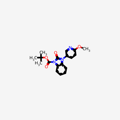 COc1ccc(-n2c(=O)n(C(=O)OC(C)(C)C)c3ccccc32)cn1